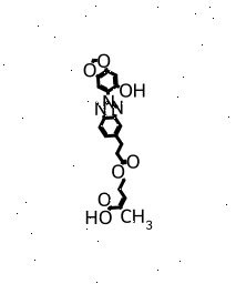 CC(=CCCOC(=O)CCc1ccc2nn(-c3cc4c(cc3O)OCO4)nc2c1)C(=O)O